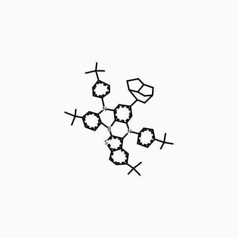 CC(C)(C)c1ccc(N2c3cc(C(C)(C)C)ccc3B3c4sc5ccc(C(C)(C)C)cc5c4N(c4ccc(C(C)(C)C)cc4)c4cc(C5CC6CC7CCC5C7C6)cc2c43)cc1